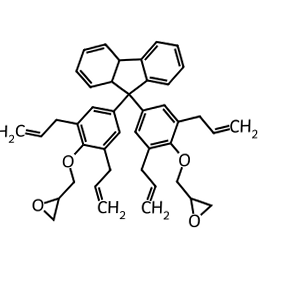 C=CCc1cc(C2(c3cc(CC=C)c(OCC4CO4)c(CC=C)c3)c3ccccc3C3C=CC=CC32)cc(CC=C)c1OCC1CO1